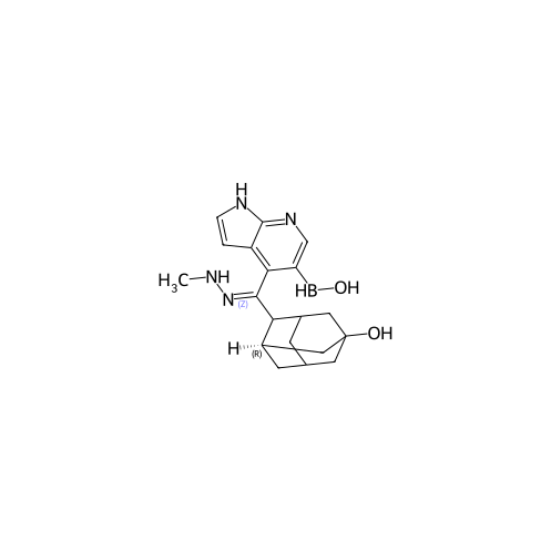 CN/N=C(\c1c(BO)cnc2[nH]ccc12)C1C2CC3C[C@@H]1CC(O)(C3)C2